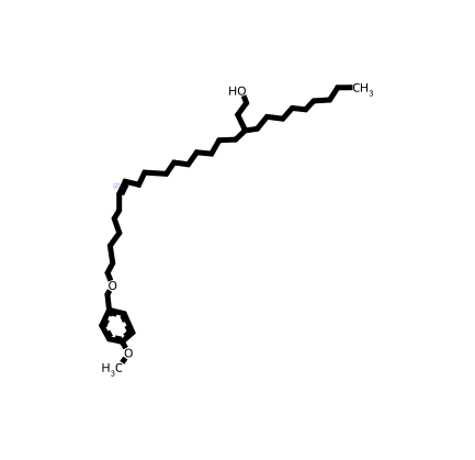 CCCCCCCCCC(CCO)CCCCCCCCC/C=C\CCCCCCOCc1ccc(OC)cc1